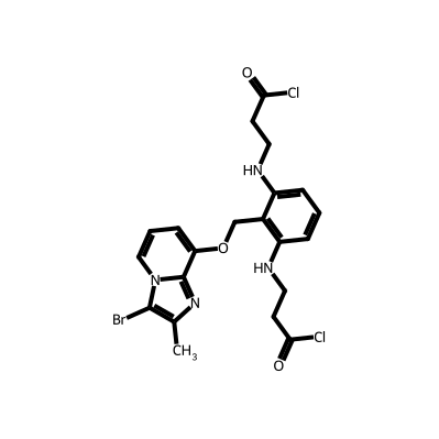 Cc1nc2c(OCc3c(NCCC(=O)Cl)cccc3NCCC(=O)Cl)cccn2c1Br